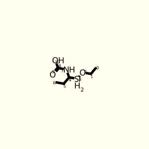 CCO[SiH2]C(CC)NC(=O)O